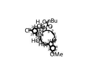 CCCC[C@H](C)C(=O)N(C)C1CC=CCO[C@@H]2C[C@H](NC[C@@H](O)[C@H](Cc3cc(Cl)cc(Cl)c3)NC1=O)c1cc(OC)ccc12